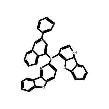 C1=CC(N(c2ccc3oc4ccccc4c3n2)c2cc(-c3ccccc3)cc3ccccc23)=C2Oc3ccccc3C2N1